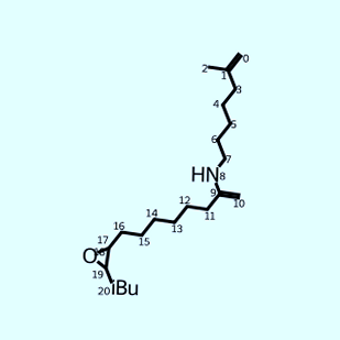 C=C(C)CCCCCNC(=C)CCCCCCC1OC1C(C)CC